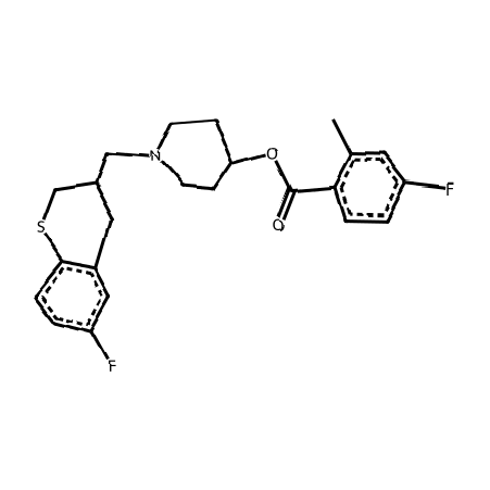 Cc1cc(F)ccc1C(=O)OC1CCN(CC2CSc3ccc(F)cc3C2)CC1